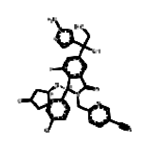 CCC(O)(c1cc(F)c2c(c1)C(=O)N(Cc1ccc(C#N)cn1)[C@@]2(O[C@H]1CCC(=O)C1)c1ccc(Cl)cc1)c1cnn(C)c1